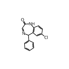 O=C1C=NC(c2ccccc2)c2cc(Cl)ccc2N1